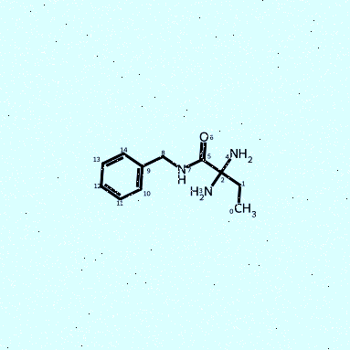 CCC(N)(N)C(=O)NCc1ccccc1